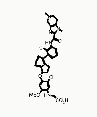 COc1cc(OC2CCc3c(-c4cccc(NC(=O)c5nc6c(n5C)CCN(C)C6)c4Cl)cccc32)c(Cl)cc1NCC(=O)O